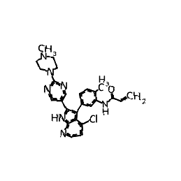 C=CC(=O)Nc1cc(-c2c(-c3cnc(N4CCN(C)CC4)nc3)[nH]c3nccc(Cl)c23)ccc1C